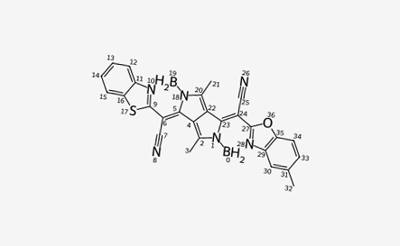 Bn1c(C)c2/c(=C(\C#N)c3nc4ccccc4s3)n(B)c(C)c2/c1=C(\C#N)c1nc2cc(C)ccc2o1